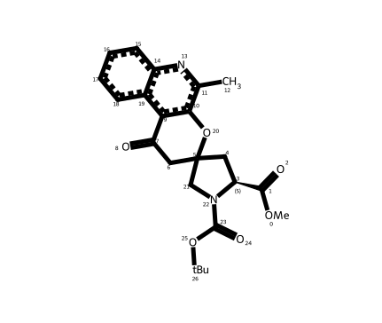 COC(=O)[C@@H]1CC2(CC(=O)c3c(c(C)nc4ccccc34)O2)CN1C(=O)OC(C)(C)C